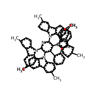 Cc1ccc2c(c1)c1cc(C)ccc1n2-c1nc(-n2c3ccc(C)cc3c3cc(C)ccc32)c(-n2c3ccc(C)cc3c3cc(C)ccc32)c(-c2ccccc2-c2nc3ccccc3s2)c1-n1c2ccc(C)cc2c2cc(C)ccc21